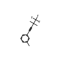 Cc1cccc(C#CC(C)(C)C(F)(F)F)c1